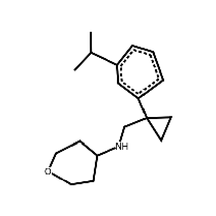 CC(C)c1cccc(C2(CNC3CCOCC3)CC2)c1